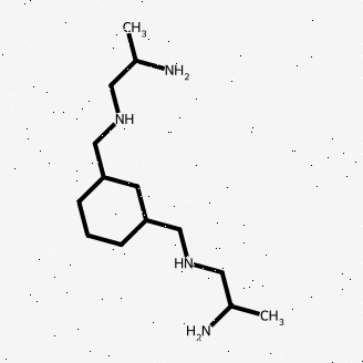 CC(N)CNCC1CCCC(CNCC(C)N)C1